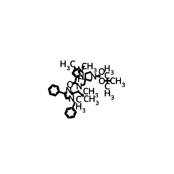 Cc1cc(C(=O)N(C[C@]2(F)CCN(C(=O)OC(C)(C)C)C2)[C@@H](c2nc(-c3ccccc3)cn2Cc2ccccc2)C(C)(C)C)nn1C